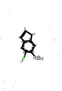 CC(C)(C)c1cc2c(cc1F)C=CC2